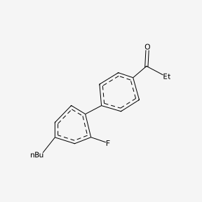 CCCCc1ccc(-c2ccc(C(=O)CC)cc2)c(F)c1